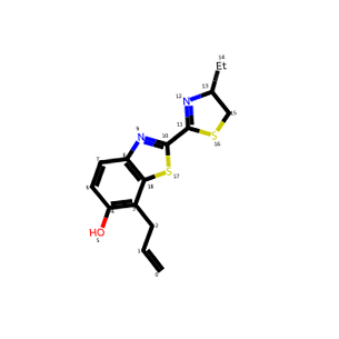 C=CCc1c(O)ccc2nc(C3=NC(CC)CS3)sc12